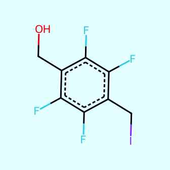 OCc1c(F)c(F)c(CI)c(F)c1F